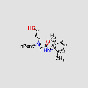 CCCCCN(CCCO)CC(=O)Nc1c(C)cccc1C